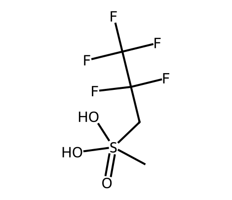 CS(=O)(O)(O)CC(F)(F)C(F)(F)F